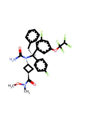 CON(C)C(=O)[C@H]1C[C@H](N(C(N)=O)[C@](Cc2ccccc2)(c2ccc(F)cc2)c2cc(F)cc(OC(F)(F)C(F)F)c2)C1